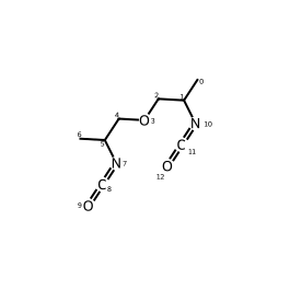 CC(COCC(C)N=C=O)N=C=O